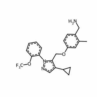 Cc1cc(OCc2c(C3CC3)cnn2-c2ccccc2OC(F)(F)F)ccc1CN